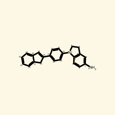 Nc1ccc2c(c1)CCN2c1ccc(C2=Cc3ccccc3C2)cc1